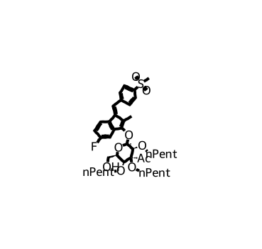 CCCCCO[C@@H]1[C@@H](CO)O[C](OC2=C(C)C(=Cc3ccc(S(C)(=O)=O)cc3)c3ccc(F)cc32)[C@H](OCCCCC)[C@]1(OCCCCC)C(C)=O